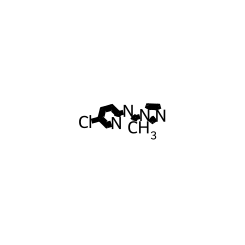 C/C(=N\c1ccc(Cl)cn1)n1ccnc1